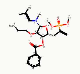 C=C(C[C@H]1O[C@@H](N(/C=C(/C)C(C)=O)C(C)=O)[C@H](OCCOC)[C@@H]1OC(=O)c1ccccc1)P(=O)(OCC)OCC